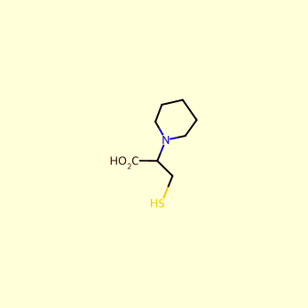 O=C(O)C(CS)N1CCCCC1